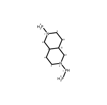 PPN1CCC2CN(P)CCC2C1